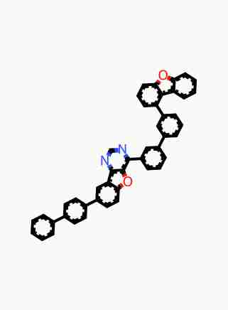 c1ccc(-c2ccc(-c3ccc4oc5c(-c6cccc(-c7cccc(-c8cccc9oc%10ccccc%10c89)c7)c6)ncnc5c4c3)cc2)cc1